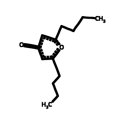 CCCCc1cc(=O)cc(CCCC)o1